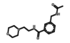 CC(=O)NCc1cccc(C(=O)NCCN2CCOCC2)c1